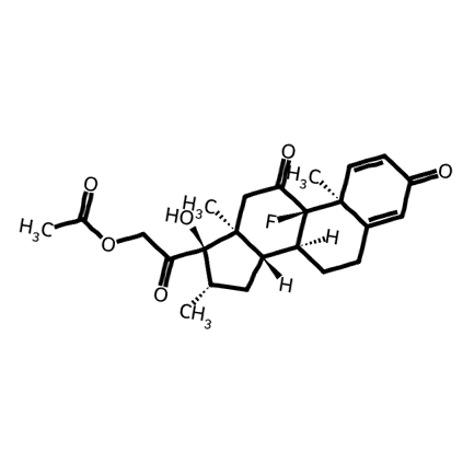 CC(=O)OCC(=O)[C@@]1(O)[C@@H](C)C[C@H]2[C@@H]3CCC4=CC(=O)C=C[C@]4(C)[C@@]3(F)C(=O)C[C@@]21C